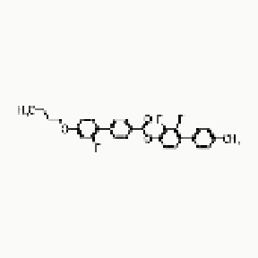 CCCCOc1ccc(-c2ccc(C(=O)Oc3ccc(-c4ccc(C)cc4)c(F)c3F)cc2)c(F)c1